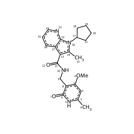 COc1cc(C)[nH]c(=O)c1CNC(=O)c1c(C)n(C2CCCC2)c2ncccc12